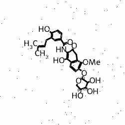 COc1c(O[C@@H]2OC[C@@H](O)[C@H](O)C2O)ccc2c1CC(=O)C(NC(=O)c1ccc(O)c(CC=C(C)C)c1)=C2O